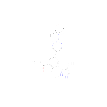 COC(=O)c1cc(-c2cnc(N3C[C@@H]4C[C@H]3CO4)nc2)cc(-c2c(C)cnn2C)c1C